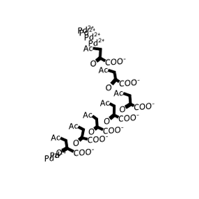 CC(=O)CC(=O)C(=O)[O-].CC(=O)CC(=O)C(=O)[O-].CC(=O)CC(=O)C(=O)[O-].CC(=O)CC(=O)C(=O)[O-].CC(=O)CC(=O)C(=O)[O-].CC(=O)CC(=O)C(=O)[O-].CC(=O)CC(=O)C(=O)[O-].[Pd+2].[Pd+2].[Pd+2].[Pd+2].[Pd+2].[Pd+2]